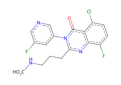 O=C(O)NCCCc1nc2c(F)ccc(Cl)c2c(=O)n1-c1cncc(F)c1